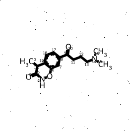 CC1C(=O)NOc2cc(C(=O)CCCN(C)C)ccc21